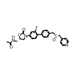 CC(=O)NC[C@H]1CN(c2ccc(-c3ccc(C[S+]([O-])Cc4ccncc4)cc3)c(F)c2)C(=O)O1